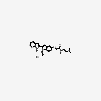 CN(C)CCNC(=O)COc1ccc2c(c1)cc(-c1cc3cccnc3[nH]1)n2CCC(=O)O